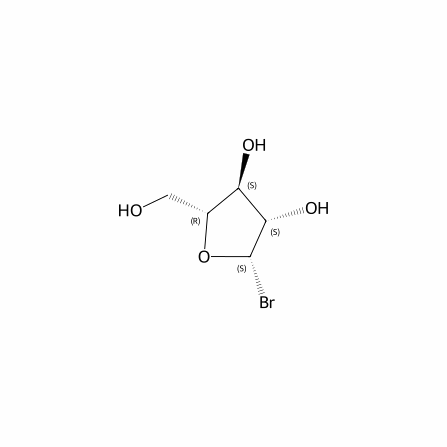 OC[C@H]1O[C@@H](Br)[C@@H](O)[C@@H]1O